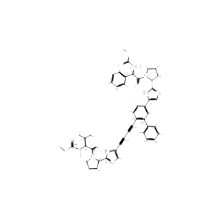 COC(=O)NC(C(=O)N1CCC[C@H]1c1ncc(-c2ccc(C#CC#Cc3cnc(C4CCCN4C(=O)C(NC(=O)OC)C(C)C)[nH]3)c(-c3ccccc3)c2)[nH]1)c1ccccc1